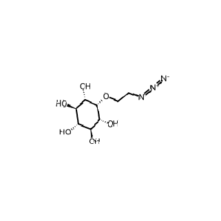 [N-]=[N+]=NCCO[C@@H]1[C@H](O)[C@@H](O)[C@H](O)[C@@H](O)[C@@H]1O